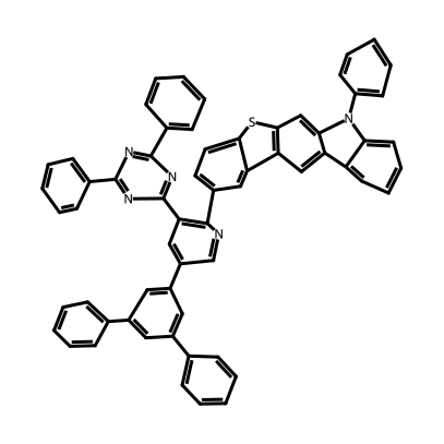 c1ccc(-c2cc(-c3ccccc3)cc(-c3cnc(-c4ccc5sc6cc7c(cc6c5c4)c4ccccc4n7-c4ccccc4)c(-c4nc(-c5ccccc5)nc(-c5ccccc5)n4)c3)c2)cc1